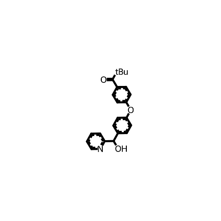 CC(C)(C)C(=O)c1ccc(Oc2ccc(C(O)c3ccccn3)cc2)cc1